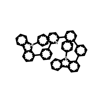 c1ccc(-n2c3ccccc3c3cccc(-c4cccc(-c5cccc(-c6cccc(-c7cccc(-c8cccc9c%10ccccc%10n(-c%10ccccc%10)c89)c7)n6)n5)c4)c32)cc1